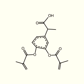 C=C(C)C(=O)Oc1ccc(C(C)C(=O)O)cc1OC(=O)C(=C)C